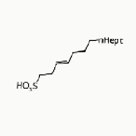 CCCCCCCCCC/C=C/CCS(=O)(=O)O